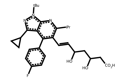 CC(C)c1nc2c(c(C3CC3)nn2C(C)(C)C)c(-c2ccc(F)cc2)c1/C=C/C(O)CC(O)CC(=O)O